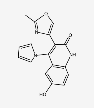 Cc1nc(-c2c(-n3cccc3)c3cc(O)ccc3[nH]c2=O)co1